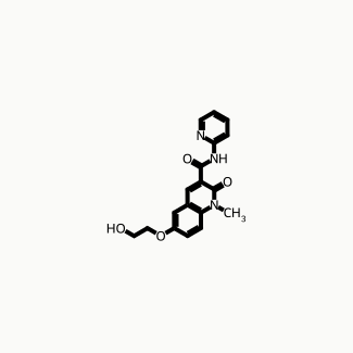 Cn1c(=O)c(C(=O)Nc2ccccn2)cc2cc(OCCO)ccc21